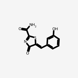 NC(=O)C1=NC(=O)C(=Cc2cccc(O)c2)S1